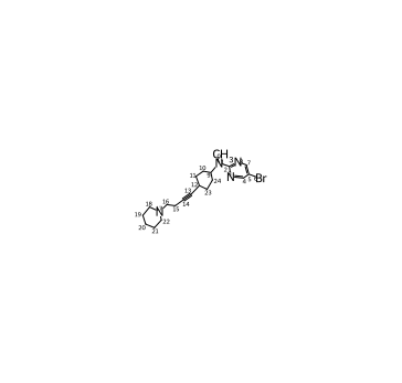 CN(c1ncc(Br)cn1)C1CCC(C#CCCN2CCCCC2)CC1